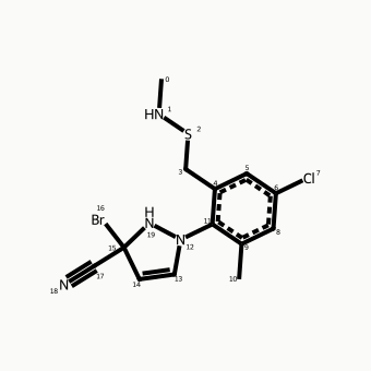 CNSCc1cc(Cl)cc(C)c1N1C=CC(Br)(C#N)N1